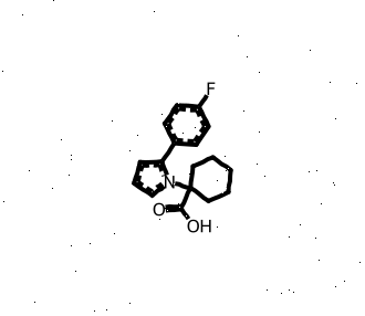 O=C(O)C1(n2cccc2-c2ccc(F)cc2)CCCCC1